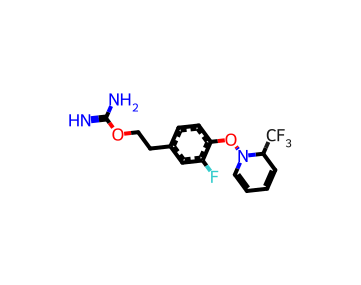 N=C(N)OCCc1ccc(ON2C=CC=CC2C(F)(F)F)c(F)c1